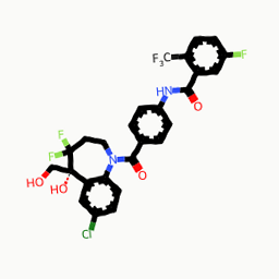 O=C(Nc1ccc(C(=O)N2CCC(F)(F)[C@](O)(CO)c3cc(Cl)ccc32)cc1)c1cc(F)ccc1C(F)(F)F